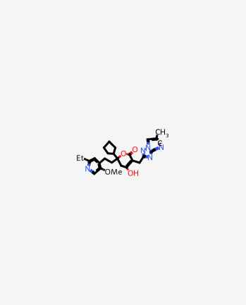 CCc1cc(CCC2(C3CCCC3)CC(O)=C(Cc3nc4ncc(C)cn4n3)C(=O)O2)c(OC)cn1